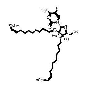 CCCCCCCC/C=C\CCCCCCCCO[C@@]1(O)[C@@H](CO)O[C@@H](n2cc(F)c(N)nc2=O)[C@@]1(O)OCCCCCCCC/C=C\CCCCCCCC